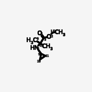 CCOC(=O)C(C)(C)NC1CC1